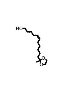 CC1(CCCCC/C=C\CCCCO)OCCO1